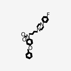 O=c1oc2cc(OCc3ccccc3)ccc2n1CCCCN1CCN(c2ccc(F)cc2)CC1